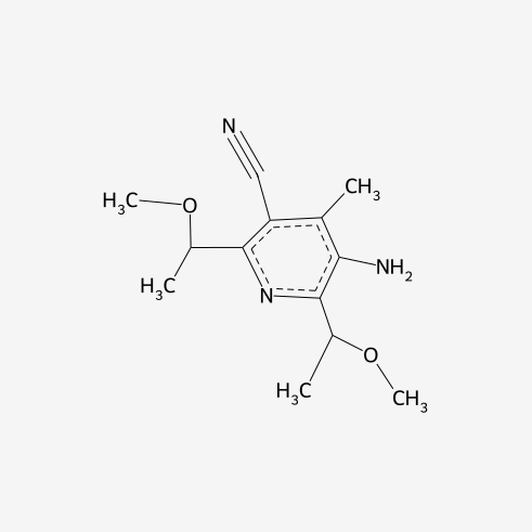 COC(C)c1nc(C(C)OC)c(C#N)c(C)c1N